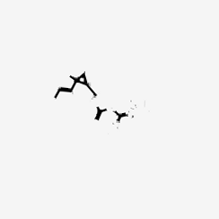 C=C(OCC1CC1(F)/C=C/C)S/C(N)=N\N